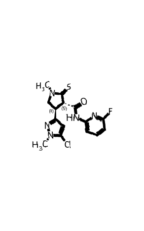 CN1C[C@H](c2cc(Cl)n(C)n2)[C@@H](C(=O)Nc2cccc(F)n2)C1=S